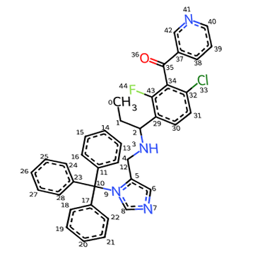 CCC(NCc1cncn1C(c1ccccc1)(c1ccccc1)c1ccccc1)c1ccc(Cl)c(C(=O)c2cccnc2)c1F